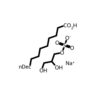 CCCCCCCCCCCCCCCCCC(=O)O.O=S(=O)([O-])OCC(O)CO.[Na+]